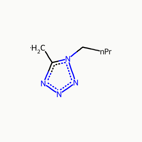 [CH2]c1nnnn1CCCC